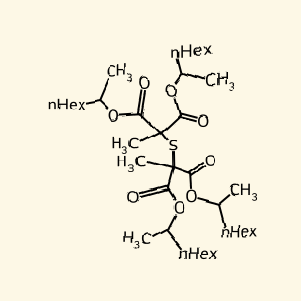 CCCCCCC(C)OC(=O)C(C)(SC(C)(C(=O)OC(C)CCCCCC)C(=O)OC(C)CCCCCC)C(=O)OC(C)CCCCCC